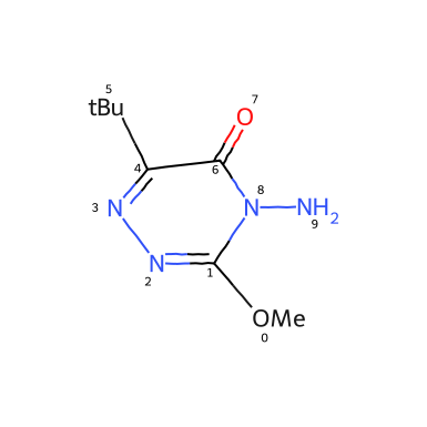 COc1nnc(C(C)(C)C)c(=O)n1N